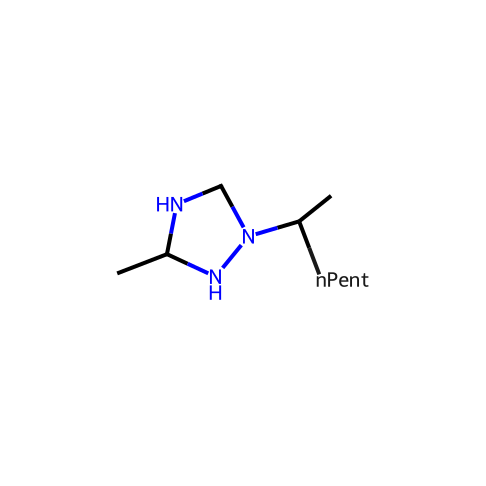 CCCCCC(C)N1CNC(C)N1